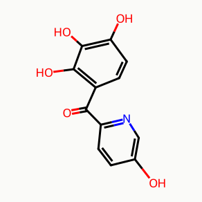 O=C(c1ccc(O)cn1)c1ccc(O)c(O)c1O